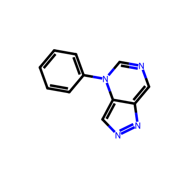 c1ccc(-n2cncc3nncc2-3)cc1